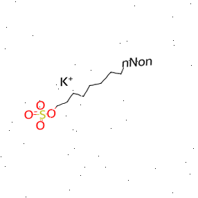 CCCCCCCCCCCCCCCCCOS(=O)(=O)[O-].[K+]